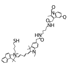 CCN1/C(=C/C=C/C=C/C2=[N+](CCCCS)c3ccc4ccccc4c3C2(C)C)C(C)(C)c2cc(CC(=O)NCCCCNC(=O)Cc3c(C)n(C=O)c4ccc(OC)cc34)ccc21